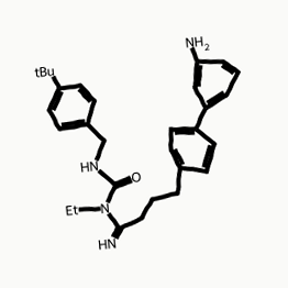 CCN(C(=N)CCCc1ccc(-c2cccc(N)c2)cc1)C(=O)NCc1ccc(C(C)(C)C)cc1